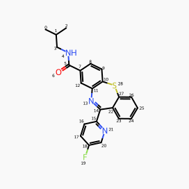 CC(C)CNC(=O)c1ccc2c(c1)N=C(c1ccc(F)cn1)c1ccccc1S2